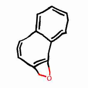 c1ccc2c3c(ccc2c1)O3